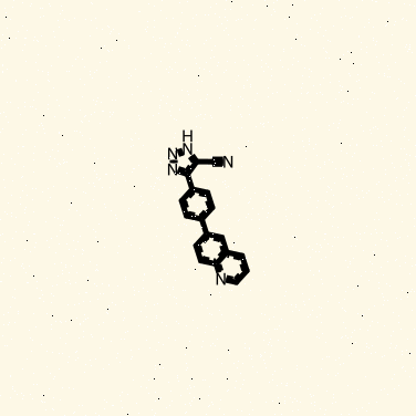 N#Cc1[nH]nnc1-c1ccc(-c2ccc3ncccc3c2)cc1